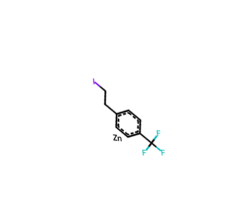 FC(F)(F)c1ccc(CCI)cc1.[Zn]